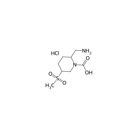 CS(=O)(=O)C1CCC(CN)N(C(=O)O)C1.Cl